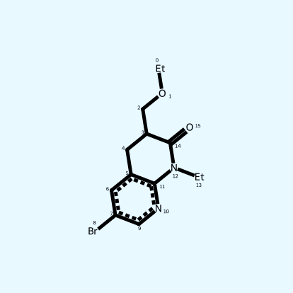 CCOCC1Cc2cc(Br)cnc2N(CC)C1=O